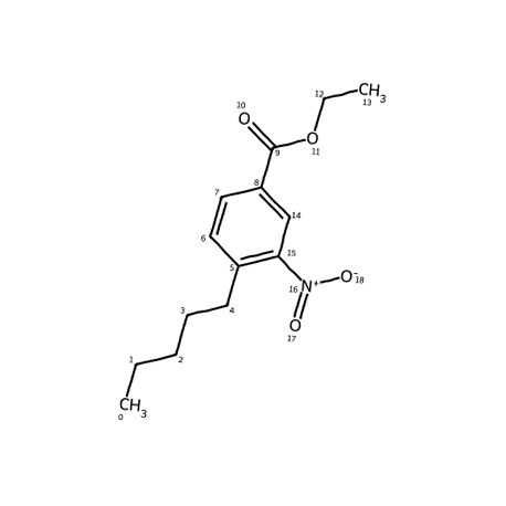 CCCCCc1ccc(C(=O)OCC)cc1[N+](=O)[O-]